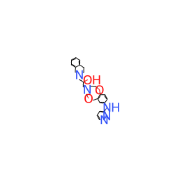 O[C@@H](CN1CCOc2ccc(Nc3cccnn3)cc2COC1)CN1CCc2ccccc2C1